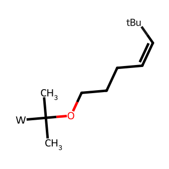 CC(C)(C)/C=C\CCCO[C](C)(C)[W]